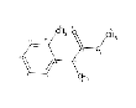 COC(=O)C(C)c1ccccc1C